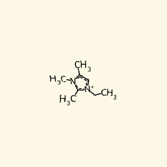 CC[n+]1cc(C)n(C)c1C